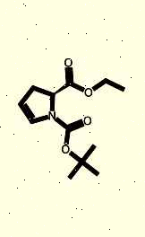 CCOC(=O)[C@@H]1CC=CN1C(=O)OC(C)(C)C